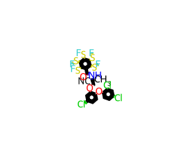 CC(C#N)(COc1cc(Cl)ccc1Oc1ccc(Cl)cc1Cl)NC(=O)c1c(SF)c(SF)c(SF)c(SF)c1SF